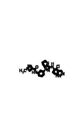 Cn1cc(C(=O)Nc2cccc(-n3nc(Nc4ccc5[nH]ncc5c4Cl)c4ncccc43)c2)cn1